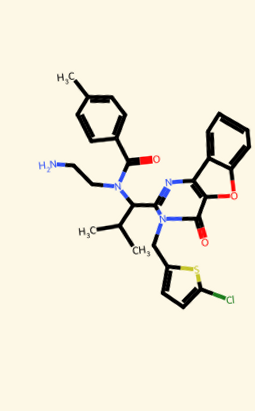 Cc1ccc(C(=O)N(CCN)C(c2nc3c(oc4ccccc43)c(=O)n2Cc2ccc(Cl)s2)C(C)C)cc1